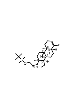 C[C@H](CO[Si](C)(C)C(C)(C)C)[C@H]1CC[C@H]2[C@@H]3CC[C@H]4C(F)=CCC[C@]4(C)[C@H]3CC[C@]12C